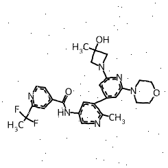 Cc1ncc(NC(=O)c2ccnc(C(C)(F)F)c2)cc1-c1cc(N2CCOCC2)nc(N2CC(C)(O)C2)c1